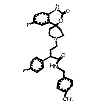 Cc1ccc(CNC(=O)C(CCN2CCC3(CC2)OC(=O)Nc2ccc(F)cc23)c2ccc(F)cc2)cc1